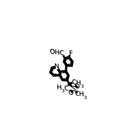 CC(C)(c1cc(-c2ccc(F)c(C=O)c2)c2ncccc2c1)S(C)(=O)=O